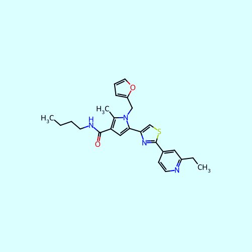 CCCCNC(=O)c1cc(-c2csc(-c3ccnc(CC)c3)n2)n(Cc2ccco2)c1C